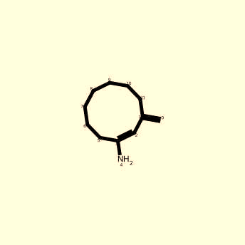 C=C1/C=C(/N)CCCCCCC1